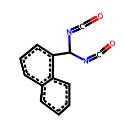 O=C=NC(N=C=O)c1cccc2ccccc12